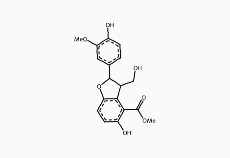 COC(=O)c1c(O)ccc2c1C(CO)C(c1ccc(O)c(OC)c1)O2